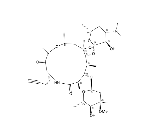 C#CC[C@@H]1CC(=O)N(C)C[C@H](C)C[C@@](C)(O)[C@H](O[C@@H]2O[C@H](C)C[C@H](N(C)C)[C@H]2O)[C@@H](C)[C@H](O[C@H]2C[C@@](C)(OC)[C@@H](O)[C@H](C)O2)[C@@H](C)C(=O)N1